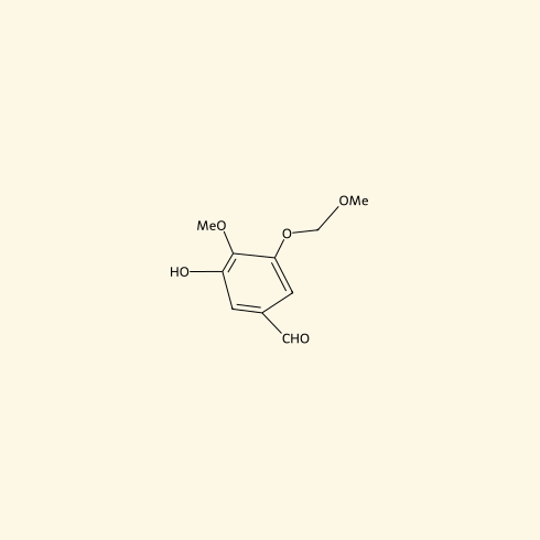 COCOc1cc(C=O)cc(O)c1OC